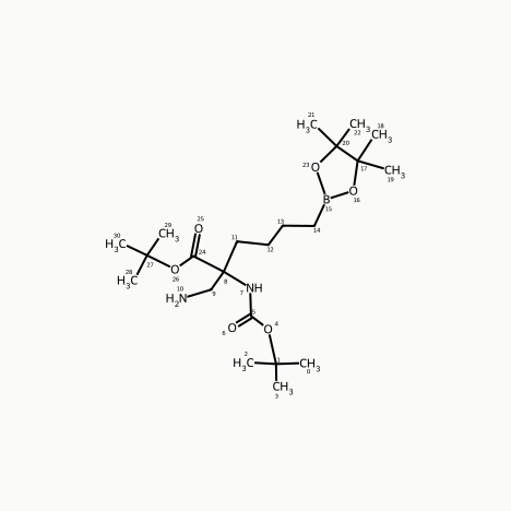 CC(C)(C)OC(=O)NC(CN)(CCCCB1OC(C)(C)C(C)(C)O1)C(=O)OC(C)(C)C